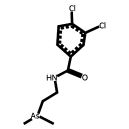 C[As](C)CCNC(=O)c1ccc(Cl)c(Cl)c1